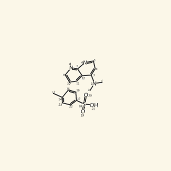 CN(C)c1ccnc2ncccc12.Cc1ccc(S(=O)(=O)O)cc1